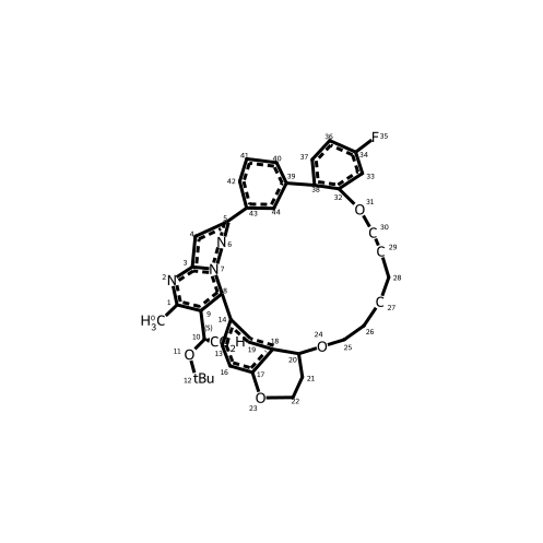 Cc1nc2cc3nn2c(c1[C@H](OC(C)(C)C)C(=O)O)-c1ccc2c(c1)C(CCO2)OCCCCCCOc1cc(F)ccc1-c1cccc-3c1